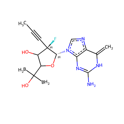 BC(B)(O)C1O[C@@H](n2cnc3c2N=C(N)NC3=C)[C@@](F)(C#CC)C1O